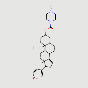 CN1CCN(C(=O)OC2CCC3(C)C(CCC4C5=CCC(c6ccc(=O)oc6)C5(C)CCC43)C2)CC1